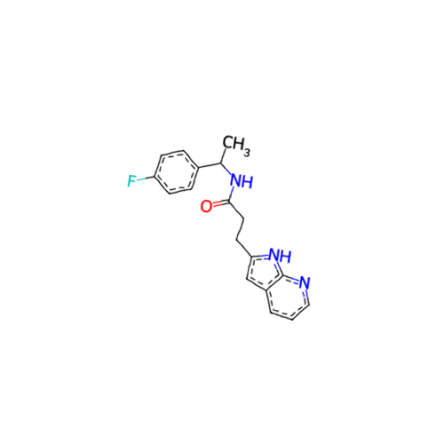 CC(NC(=O)CCc1cc2cccnc2[nH]1)c1ccc(F)cc1